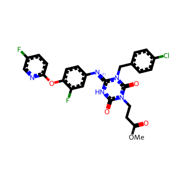 COC(=O)CCn1c(=O)[nH]/c(=N\c2ccc(Oc3ccc(F)cn3)c(F)c2)n(Cc2ccc(Cl)cc2)c1=O